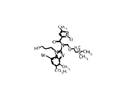 CCn1nc(C)cc1C(=O)N(COCC[Si](C)(C)C)c1nc2c(C)c(C(=O)O)cc(Br)c2n1CCCO